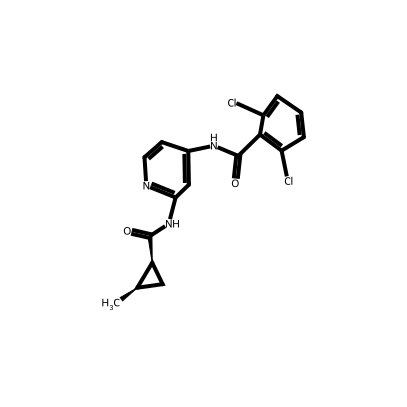 C[C@@H]1C[C@@H]1C(=O)Nc1cc(NC(=O)c2c(Cl)cccc2Cl)ccn1